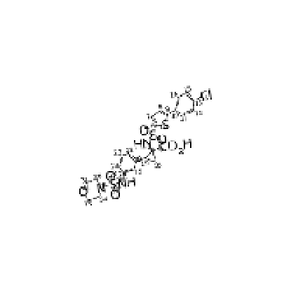 O=C(O)[C@@]1(NS(=O)(=O)c2ccc(-c3ccc(Cl)cc3)s2)C[C@H]1c1cccc(NS(=O)(=O)N2CCOCC2)c1